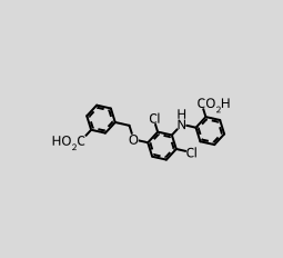 O=C(O)c1cccc(COc2ccc(Cl)c(Nc3ccccc3C(=O)O)c2Cl)c1